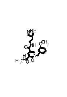 CNC(=O)c1cc(C(=O)NCCc2cn[nH]c2)cn(Cc2cccc(OC)c2)c1=O